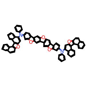 c1ccc(N(c2ccc3c(c2)oc2cc4c(cc23)oc2cc3c(cc24)oc2cc(N(c4ccccc4)c4cc5oc6ccc7ccccc7c6c5c5ccccc45)ccc23)c2cc3oc4ccc5ccccc5c4c3c3ccccc23)cc1